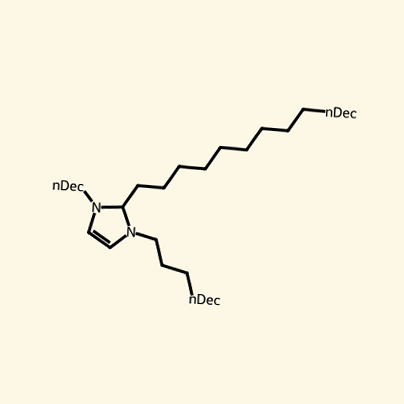 CCCCCCCCCCCCCCCCCCCC1N(CCCCCCCCCC)C=CN1CCCCCCCCCCCCC